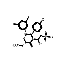 CCC(CS(=O)(=O)C(C)C)N1C(=O)[C@H](CC(=O)O)O[C@H](c2cc(F)cc(Cl)c2)[C@H]1c1ccc(Cl)cc1